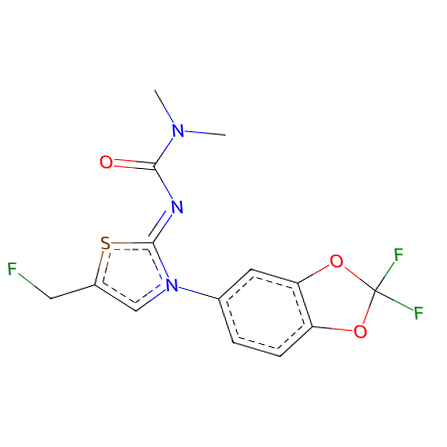 CN(C)C(=O)N=c1sc(CF)cn1-c1ccc2c(c1)OC(F)(F)O2